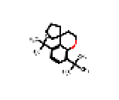 CC(C)(C)c1ccc(C(C)(C)C)c2c1OCCC21CCCC1